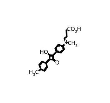 CC1C=CC(=C2C(=O)C(c3ccc(N(C)CCCC(=O)O)cc3)=C2O)C=C1